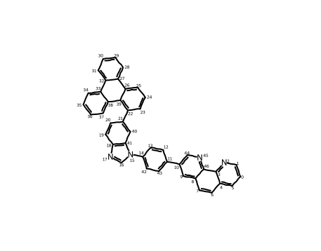 c1cnc2c(c1)ccc1cc(-c3ccc(-n4cnc5ccc(-c6cccc7c8ccccc8c8ccccc8c67)cc54)cc3)cnc12